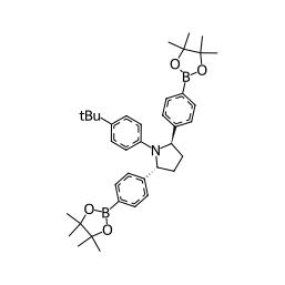 CC(C)(C)c1ccc(N2[C@@H](c3ccc(B4OC(C)(C)C(C)(C)O4)cc3)CC[C@@H]2c2ccc(B3OC(C)(C)C(C)(C)O3)cc2)cc1